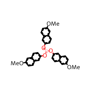 COc1ccc2cc(OB(Oc3ccc4cc(OC)ccc4c3)Oc3ccc4cc(OC)ccc4c3)ccc2c1